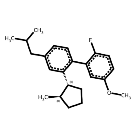 COc1ccc(F)c(-c2ccc(CC(C)C)cc2[C@@H]2CCC[C@H]2C)c1